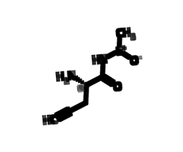 C#CC[C@H](N)C(=O)N[S+](C)[O-]